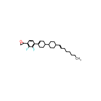 CCCCCC/C=C/C1CCC(C2CC=C(c3ccc(C4CO4)c(F)c3F)CC2)CC1